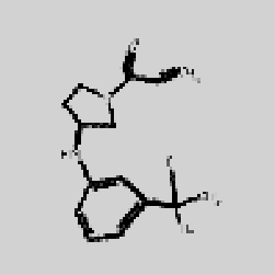 C=CC(=O)N1CCC(Nc2cccc(C(C)(F)P)c2)C1